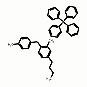 CCCCc1ccc([I+]c2ccc(C)cc2)c(C)c1.c1ccc([B-](c2ccccc2)(c2ccccc2)c2ccccc2)cc1